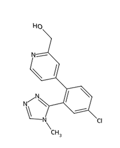 Cn1cnnc1-c1cc(Cl)ccc1-c1ccnc(CO)c1